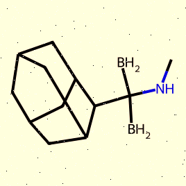 BC(B)(NC)C1C2CC3CC(C2)CC1C3